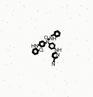 COc1ccccc1Nc1ccc(N(C(=O)NCc2ccccc2)C2CCC(Nc3ccc(C#N)cn3)CC2)cc1